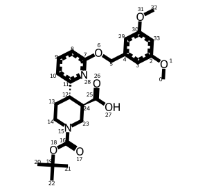 COc1cc(COc2cccc([C@H]3CCN(C(=O)OC(C)(C)C)C[C@@H]3C(=O)O)n2)cc(OC)c1